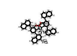 CCCCCC1=Cc2c(-c3cccc4ccccc34)ccc(-c3cccc4ccccc34)c2[CH]1[Zr]([CH3])([CH3])(=[SiH2])[CH]1C(CCCCC)=Cc2c(-c3cccc4ccccc34)ccc(-c3cccc4ccccc34)c21.Cl.Cl